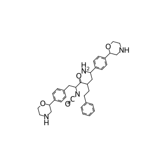 NC(CC(CCc1ccccc1)C(=O)C(Cc1ccc(C2CNCCO2)cc1)N=C=O)c1ccc(C2CNCCO2)cc1